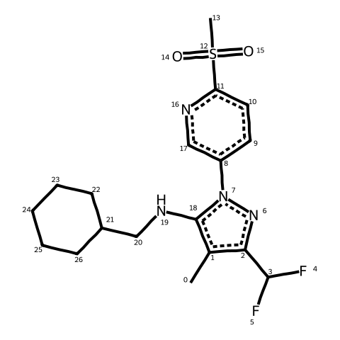 Cc1c(C(F)F)nn(-c2ccc(S(C)(=O)=O)nc2)c1NCC1CCCCC1